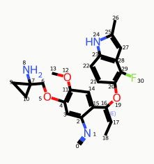 C=Nc1cc(OCC2(N)CC2)c(OC)cc1/C(=C\C)Oc1ccc2[nH]c(C)cc2c1F